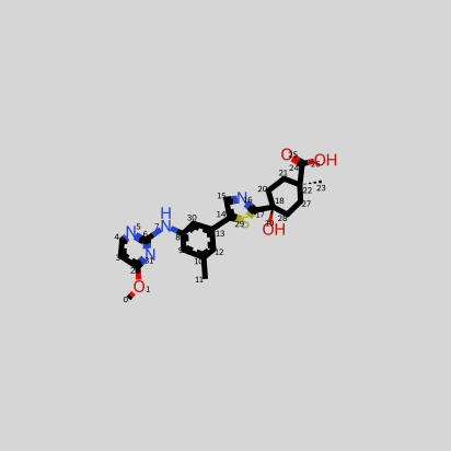 COc1ccnc(Nc2cc(C)cc(-c3cnc([C@]4(O)CC[C@@](C)(C(=O)O)CC4)s3)c2)n1